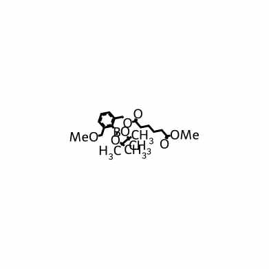 COCc1cccc(COC(=O)CCCCC(=O)OC)c1B1OC(C)(C)C(C)(C)O1